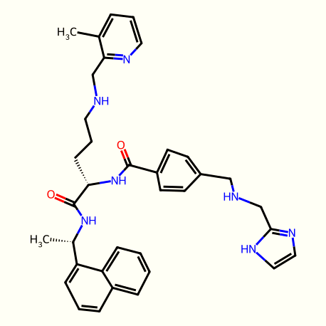 Cc1cccnc1CNCCC[C@H](NC(=O)c1ccc(CNCc2ncc[nH]2)cc1)C(=O)N[C@@H](C)c1cccc2ccccc12